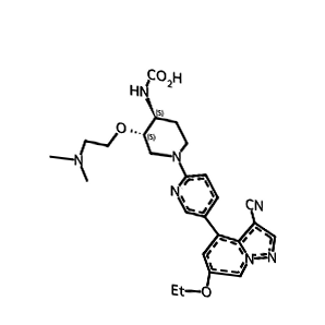 CCOc1cc(-c2ccc(N3CC[C@H](NC(=O)O)[C@@H](OCCN(C)C)C3)nc2)c2c(C#N)cnn2c1